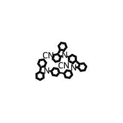 N#Cc1ccc2c3ccccc3n(-c3ccc(-c4cccc(-n5c6ccccc6c6ccc(-n7c8ccccc8c8ccccc87)cc65)c4)c(C#N)c3)c2c1